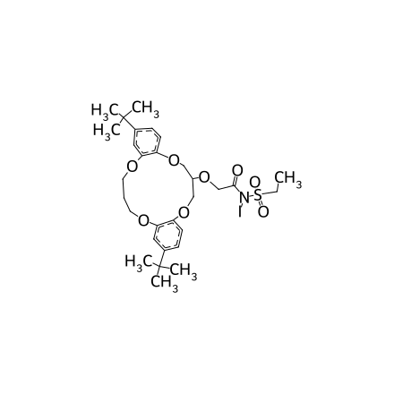 CCS(=O)(=O)N(I)C(=O)COC1COc2ccc(C(C)(C)C)cc2OCCCOc2cc(C(C)(C)C)ccc2OC1